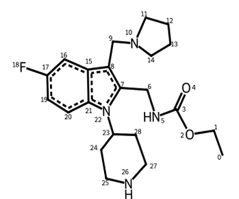 CCOC(=O)NCc1c(CN2CCCC2)c2cc(F)ccc2n1C1CCNCC1